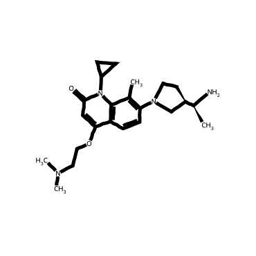 Cc1c(N2CC[C@@H]([C@H](C)N)C2)ccc2c(OCCN(C)C)cc(=O)n(C3CC3)c12